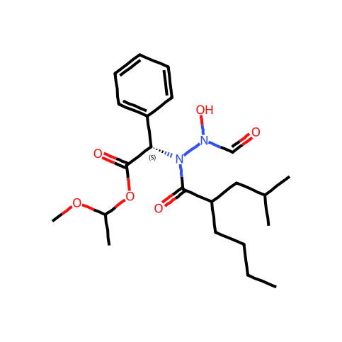 CCCCC(CC(C)C)C(=O)N([C@H](C(=O)OC(C)OC)c1ccccc1)N(O)C=O